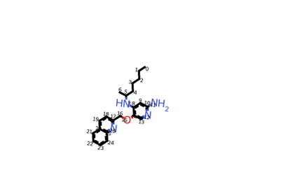 CCCCCC(C)Nc1cc(N)ncc1OCc1ccc2ccccc2n1